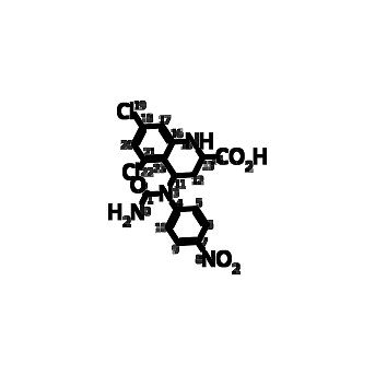 NC(=O)N(c1ccc([N+](=O)[O-])cc1)C1CC(C(=O)O)Nc2cc(Cl)cc(Cl)c21